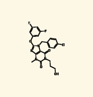 Cn1c(=O)n(CCCO)c(=O)c2c1nc(Oc1cc(F)cc(F)c1)n2Cc1ccc(Cl)cc1